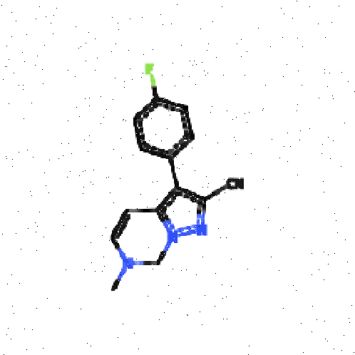 CN1C=Cc2c(-c3ccc(F)cc3)c(C#N)nn2C1